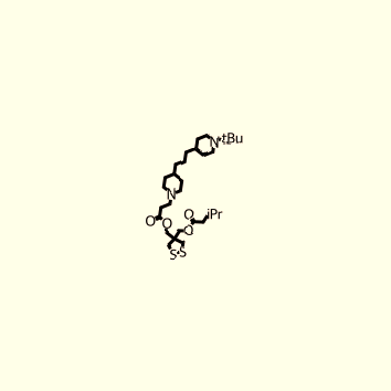 CC(C)CC(=O)OCC1(COC(=O)CCN2CCC(CCCC3CCN(C(C)(C)C)CC3)CC2)CSSC1